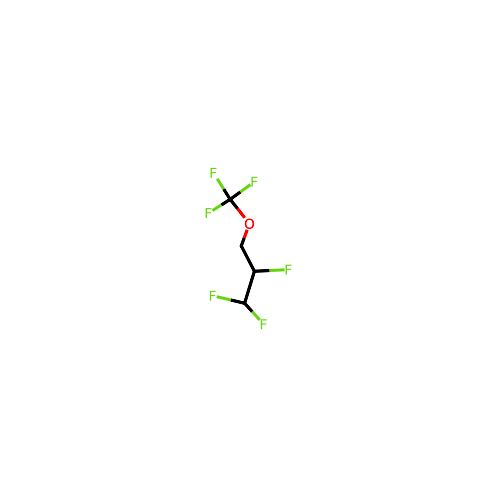 FC(F)C(F)COC(F)(F)F